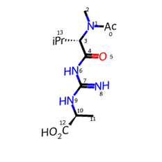 CC(=O)N(C)[C@H](C(=O)NC(=N)N[C@@H](C)C(=O)O)C(C)C